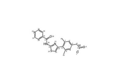 Cc1cc(C[SH](=O)=O)cc(C)c1-c1csc(NC(=O)c2ccncc2)n1